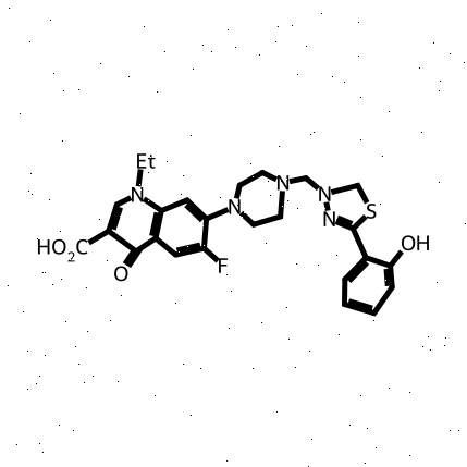 CCn1cc(C(=O)O)c(=O)c2cc(F)c(N3CCN(CN4CSC(c5ccccc5O)=N4)CC3)cc21